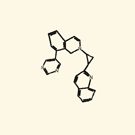 C1=CN(C2CC2c2ccc3ccccc3n2)Cc2c1cccc2-c1cncnc1